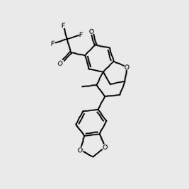 CC1C(c2ccc3c(c2)OCO3)CC2CC13C=C(C(=O)C(F)(F)F)C(=O)C=C3O2